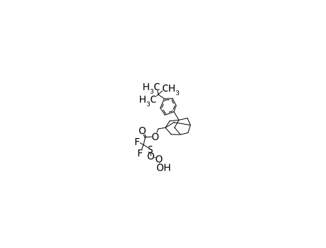 CC(C)(C)c1ccc(C23CC4CC(CC(COC(=O)C(F)(F)SOOO)(C4)C2)C3)cc1